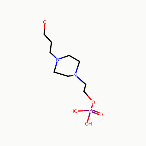 [O]CCCN1CCN(CCOP(=O)(O)O)CC1